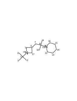 CC(C)(C)N1CC(CC(C)(C)N2CCCCC2)C1